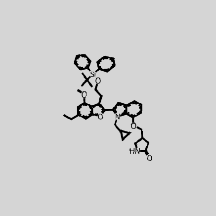 CCc1cc(OC)c2c(CCO[Si](c3ccccc3)(c3ccccc3)C(C)(C)C)c(-c3cc4cccc(OCC5CNC(=O)C5)c4n3CC3CC3)oc2c1